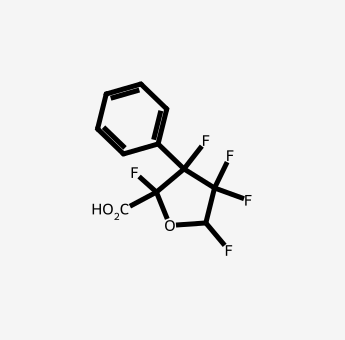 O=C(O)C1(F)OC(F)C(F)(F)C1(F)c1ccccc1